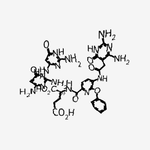 Nc1cc(=O)[nH]c(N)n1.Nc1cc(=O)[nH]c(N)n1.Nc1nc(N)c(CC(=O)Nc2ccc(C(=O)N[C@@H](CCC(=O)O)C(=O)O)nc2Oc2ccccc2)c(=O)[nH]1